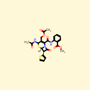 COC(=O)c1ccccc1NC(=O)C1=C(COC(C)=O)C(NC(C)=O)S[C@@H]2[C@H](c3cccs3)C(=O)N12